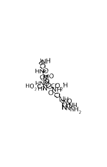 Cc1cc2cc(NC(=O)CC3CN3C(=O)[C@H](CC=O)NC(=O)[C@H](CC(=O)O)NC(=O)C[C@H](NC(=O)c3ccc(NCc4cnc5nc(N)[nH]c(=O)c5n4)cc3)C(=O)O)ccc2[nH]1